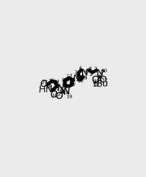 CN(CCCN1CC2CC1CN2c1ccc2c(c1)n(C)c(=O)n2C1CCC(=O)NC1=O)C(=O)OC(C)(C)C